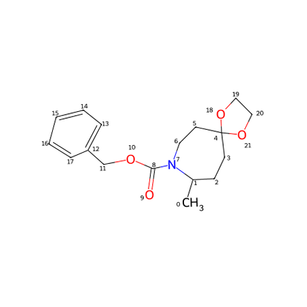 CC1CCC2(CCN1C(=O)OCc1ccccc1)OCCO2